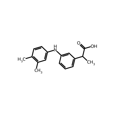 Cc1ccc(Nc2cccc(C(C)C(=O)O)c2)cc1C